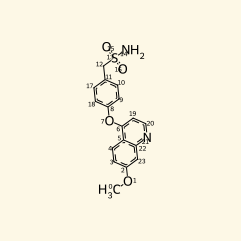 COc1ccc2c(Oc3ccc(CS(N)(=O)=O)cc3)ccnc2c1